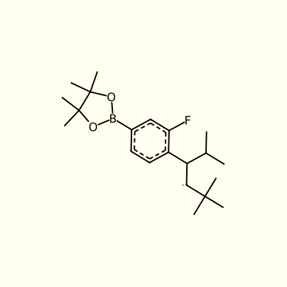 CC(C)C([CH]C(C)(C)C)c1ccc(B2OC(C)(C)C(C)(C)O2)cc1F